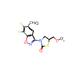 O=Cc1cc2c(N3CC(COC(F)(F)F)SC3=O)noc2c(F)c1F